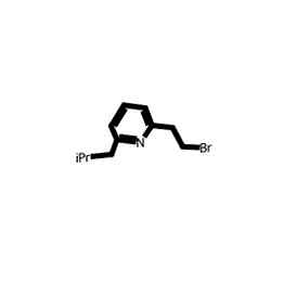 CC(C)Cc1cccc(CCBr)n1